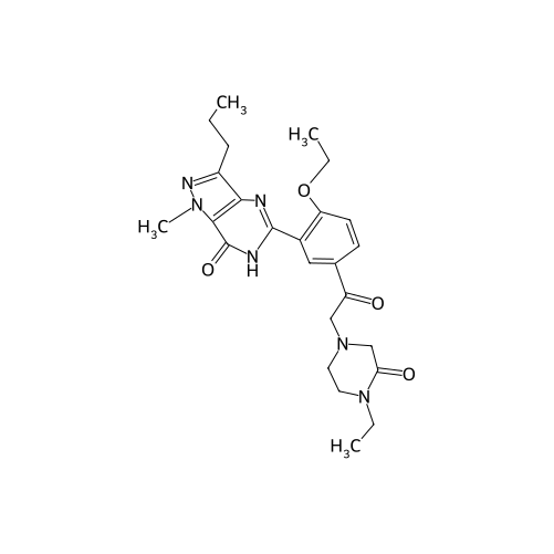 CCCc1nn(C)c2c(=O)[nH]c(-c3cc(C(=O)CN4CCN(CC)C(=O)C4)ccc3OCC)nc12